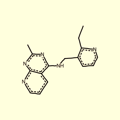 CCc1ncccc1CNc1nc(C)nc2ncccc12